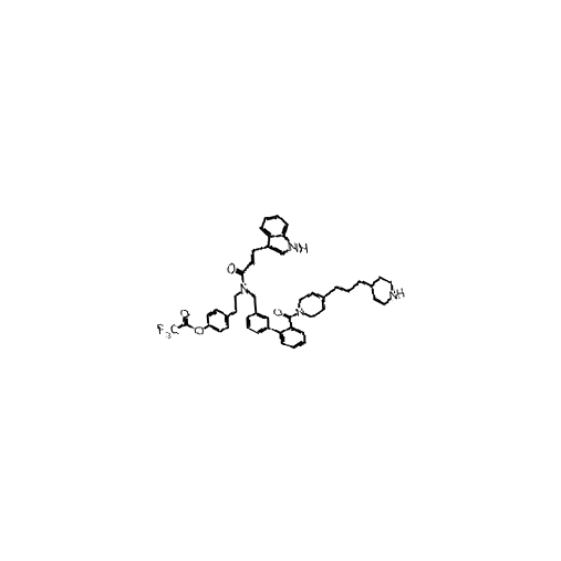 O=C(CCc1c[nH]c2ccccc12)N(CCc1ccc(OC(=O)C(F)(F)F)cc1)Cc1cccc(-c2ccccc2C(=O)N2CCC(CCCC3CCNCC3)CC2)c1